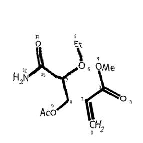 C=CC(=O)OC.CCOC(COC(C)=O)C(N)=O